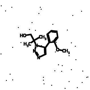 COc1ccccc1-c1cnnn1C(C)(C)CO